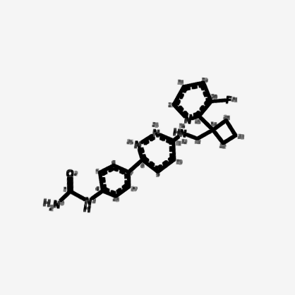 NC(=O)Nc1ccc(-c2ccc(NCC3(c4ncccc4F)CCC3)nn2)cc1